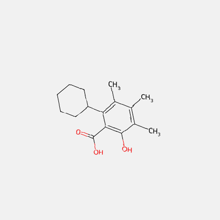 Cc1c(C)c(O)c(C(=O)O)c(C2CCCCC2)c1C